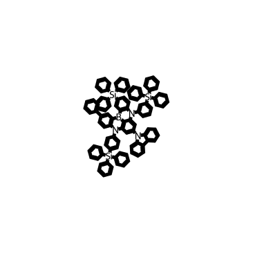 c1ccc(-c2ccc3c(c2)B2c4cc([Si](c5ccccc5)(c5ccccc5)c5ccccc5)ccc4N(c4cccc([Si](c5ccccc5)(c5ccccc5)c5ccccc5)c4)c4cc(-n5c6ccccc6c6ccccc65)cc(c42)N3c2ccc([Si](c3ccccc3)(c3ccccc3)c3ccccc3)cc2)cc1